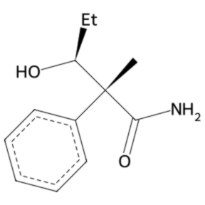 CC[C@H](O)[C@](C)(C(N)=O)c1ccccc1